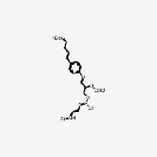 CCCCCCCCCCCCCCc1ccc(OCC(COP(O)OCCNCC)OC=O)cc1